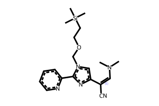 CN(C)/C=C(/C#N)c1cn(COCC[Si](C)(C)C)c(-c2ccccn2)n1